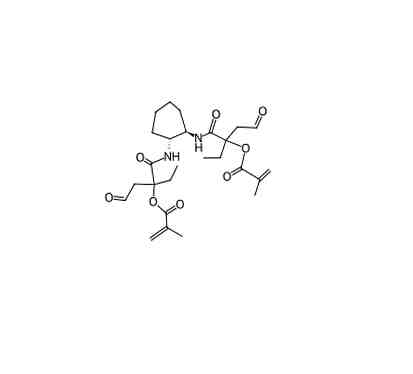 C=C(C)C(=O)OC(CC)(CC=O)C(=O)N[C@@H]1CCCC[C@H]1NC(=O)C(CC)(CC=O)OC(=O)C(=C)C